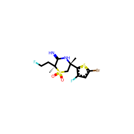 C[C@]1(CCF)C(=N)N[C@](C)(c2sc(Br)cc2F)CS1(=O)=O